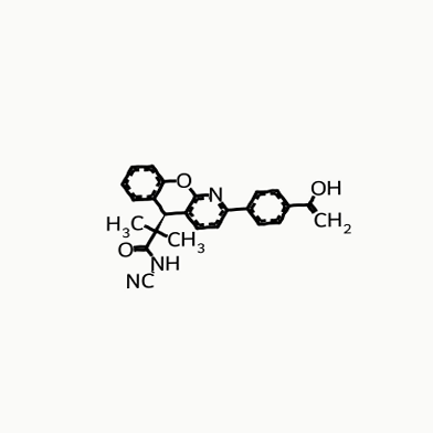 C=C(O)c1ccc(-c2ccc3c(n2)Oc2ccccc2[C@@H]3C(C)(C)C(=O)NC#N)cc1